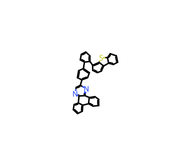 c1ccc(-c2cccc3c2sc2ccccc23)c(-c2ccc(-c3cnc4c5ccccc5c5ccccc5c4n3)cc2)c1